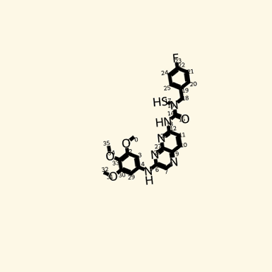 COc1cc(Nc2cnc3ccc(NC(=O)N(S)Cc4ccc(F)cc4)nc3n2)cc(OC)c1OC